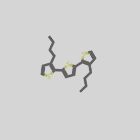 CCCCc1ccsc1-c1ccc(-c2sccc2CCCC)s1